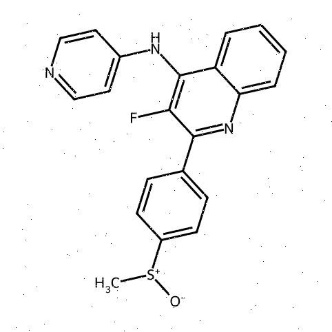 C[S+]([O-])c1ccc(-c2nc3ccccc3c(Nc3ccncc3)c2F)cc1